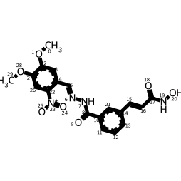 COc1cc(/C=N/NC(=O)c2cccc(/C=C/C(=O)NO)c2)c([N+](=O)[O-])cc1OC